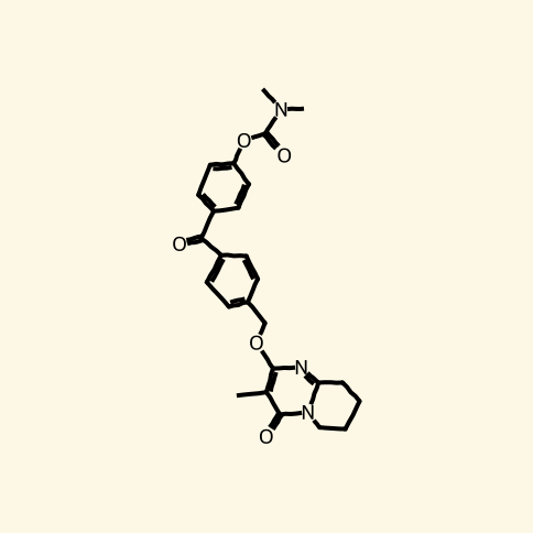 Cc1c(OCc2ccc(C(=O)c3ccc(OC(=O)N(C)C)cc3)cc2)nc2n(c1=O)CCCC2